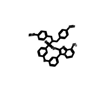 COc1ccc(CN(Cc2ccc(OC)cc2)S(=O)(=O)c2cccc(Oc3cccc(-c4c(C(C)C)nc5c(C(F)(F)F)cccn45)c3)c2)cc1